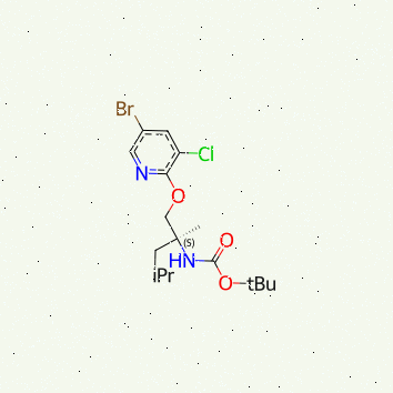 CC(C)C[C@@](C)(COc1ncc(Br)cc1Cl)NC(=O)OC(C)(C)C